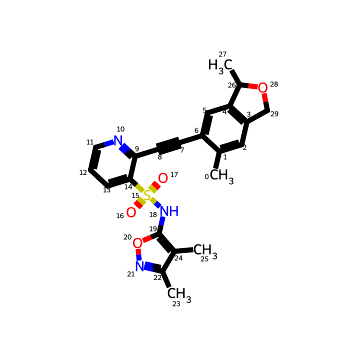 Cc1cc2c(cc1C#Cc1ncccc1S(=O)(=O)Nc1onc(C)c1C)C(C)OC2